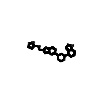 c1cc(C2CN(c3ncc4sc(CNc5ccn[nH]5)cc4n3)CCO2)c2cn[nH]c2c1